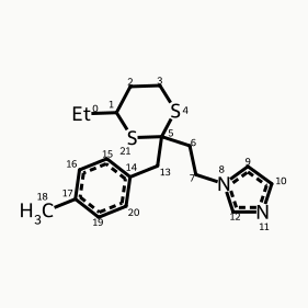 CCC1CCSC(CCn2ccnc2)(Cc2ccc(C)cc2)S1